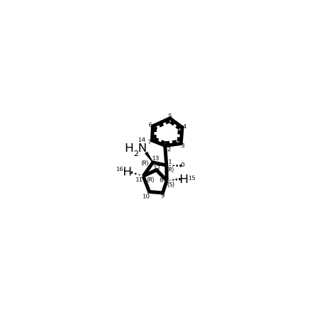 C[C@]1(c2ccccc2)[C@H]2CC[C@H](C2)[C@H]1N